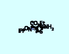 CCOC(=O)/C(=N\OC(C)C)c1csc(N)n1